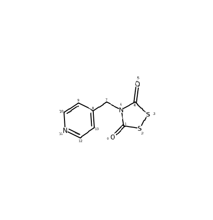 O=c1ssc(=O)n1Cc1ccncc1